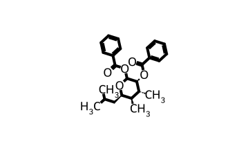 CC(C)C[C@H]1OC(OC(=O)c2ccccc2)[C@H](OC(=O)c2ccccc2)[C@H](C)[C@H]1C